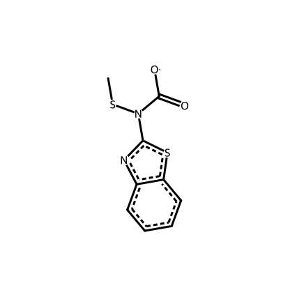 CSN(C([O])=O)c1nc2ccccc2s1